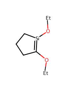 CCOC1=[Si](OCC)CCC1